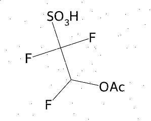 CC(=O)OC(F)C(F)(F)S(=O)(=O)O